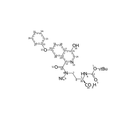 CC(C)(C)OC(=O)N[C@H](CCN(C#N)C(=O)c1ncc(O)c2ccc(Oc3ccccc3)cc12)C(=O)O